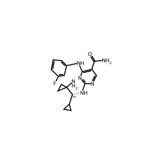 NC(=O)c1cnc(N[C@H](C2CC2)C2(N)CC2)nc1Nc1cccc(F)c1